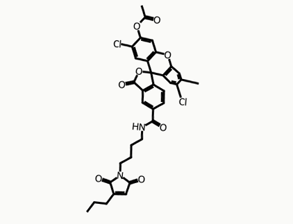 CCCC1=CC(=O)N(CCCCNC(=O)c2ccc3c(c2)C(=O)OC32c3cc(Cl)c(C)cc3Oc3cc(OC(C)=O)c(Cl)cc32)C1=O